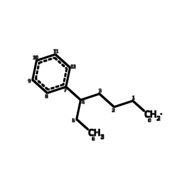 [CH2]CCCC(CC)c1ccccc1